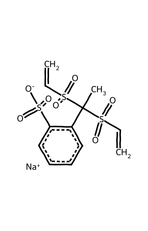 C=CS(=O)(=O)C(C)(c1ccccc1S(=O)(=O)[O-])S(=O)(=O)C=C.[Na+]